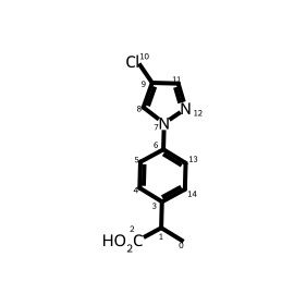 CC(C(=O)O)c1ccc(-n2cc(Cl)cn2)cc1